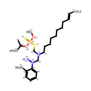 CCCCCCCC/C=C/CCCCCCCCN(CSP(=S)(OCCCC)OC(C)CCCCCC)CN(N)c1ccccc1NC